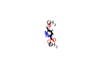 COCc1ccc(C(=O)OC)nn1